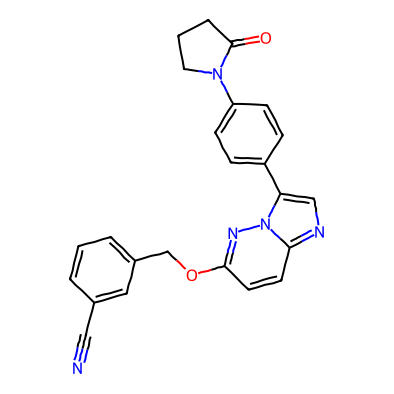 N#Cc1cccc(COc2ccc3ncc(-c4ccc(N5CCCC5=O)cc4)n3n2)c1